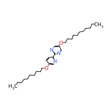 CCCCCCCCCCCOc1cnc(-c2ccc(OCCCCCCCCCC)cn2)nc1